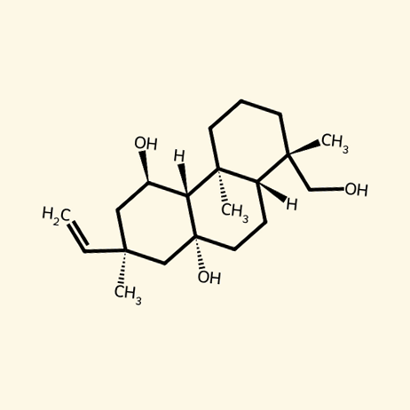 C=C[C@@]1(C)C[C@@H](O)[C@H]2[C@@](O)(CC[C@H]3[C@@](C)(CO)CCC[C@@]32C)C1